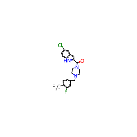 O=C(c1cc2cc(Cl)ccc2[nH]1)N1CCN(Cc2ccc(C(F)(F)F)c(F)c2)CC1